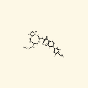 Cc1cc(-c2ccc(NC(=O)CN3CCN(CC(=O)O)CCN(CC(=O)O)CC3)c(C)c2)ccc1N